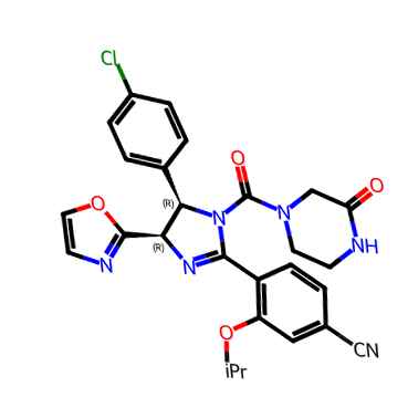 CC(C)Oc1cc(C#N)ccc1C1=N[C@@H](c2ncco2)[C@@H](c2ccc(Cl)cc2)N1C(=O)N1CCNC(=O)C1